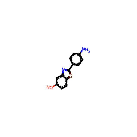 Nc1ccc(-c2nc3cc(O)ccc3s2)cc1